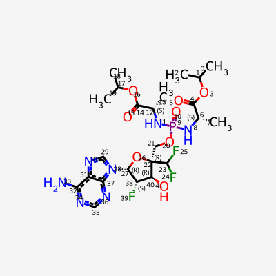 CC(C)OC(=O)[C@H](C)NP(=O)(N[C@@H](C)C(=O)OC(C)C)OC[C@@]1(C(F)F)O[C@@H](n2cnc3c(N)ncnc32)[C@@H](F)[C@@H]1O